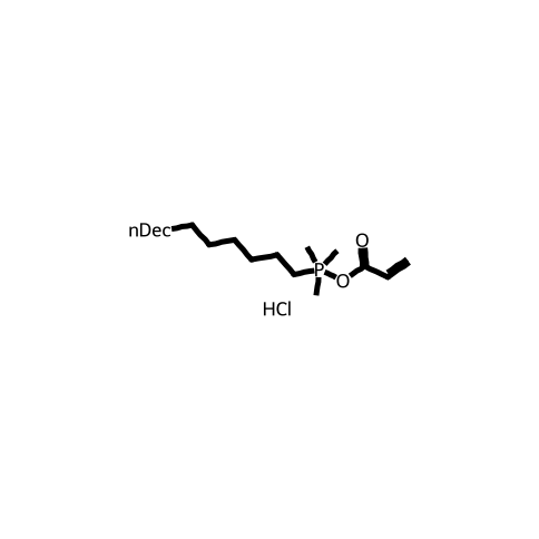 C=CC(=O)OP(C)(C)(C)CCCCCCCCCCCCCCCC.Cl